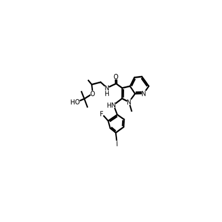 CC(CNC(=O)c1c(Nc2ccc(I)cc2F)n(C)c2ncccc12)OC(C)(C)O